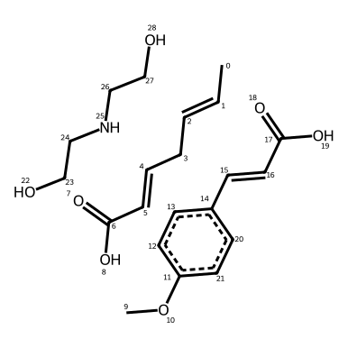 CC=CCC=CC(=O)O.COc1ccc(C=CC(=O)O)cc1.OCCNCCO